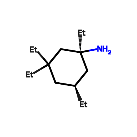 CC[C@H]1CC(CC)(CC)C[C@](N)(CC)C1